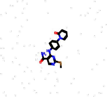 CSc1ncc(C(N)=O)c(Nc2ccc(-n3ccccc3=O)cc2)n1